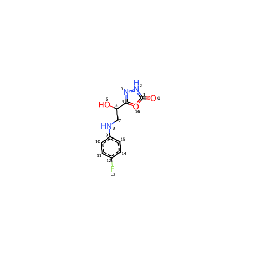 O=c1[nH]nc(C(O)CNc2ccc(F)cc2)o1